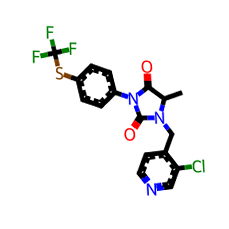 CC1C(=O)N(c2ccc(SC(F)(F)F)cc2)C(=O)N1Cc1ccncc1Cl